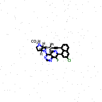 CC(C)[Si](C#Cc1cccc2cc(Cl)cc(-c3ncc4c(N5C[C@@H]6[C@H]5CCN6C(=O)O)ncnc4c3F)c12)(C(C)C)C(C)C